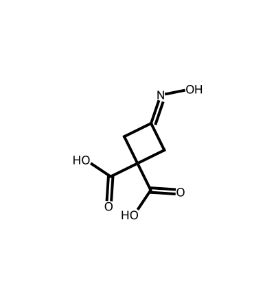 O=C(O)C1(C(=O)O)CC(=NO)C1